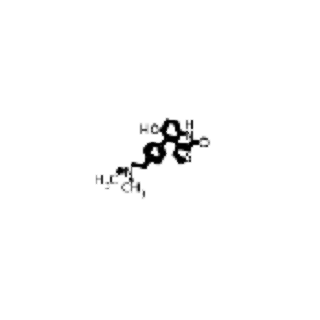 CCN(CC)CCc1ccc(-c2c(O)ccc3[nH]c(=O)c4sccc4c23)cc1